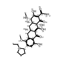 CCN1CCC[C@H]1c1cc(O)c2c(c1OC)C[C@H]1C[C@H]3[C@H](NC)C(O)=C(C(N)=O)C(=O)[C@@]3(O)C(O)=C1C2=O